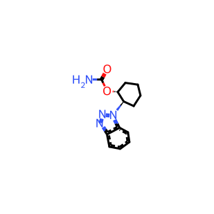 NC(=O)O[C@@H]1CCCC[C@H]1n1nnc2ccccc21